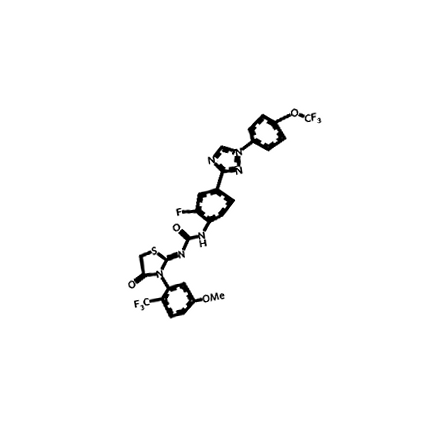 COc1ccc(C(F)(F)F)c(N2C(=O)CS/C2=N\C(=O)Nc2ccc(-c3ncn(-c4ccc(OC(F)(F)F)cc4)n3)cc2F)c1